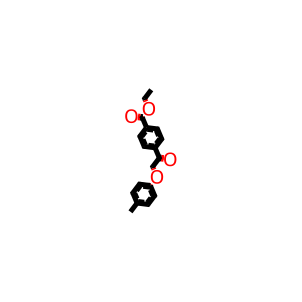 CCOC(=O)c1ccc(C(=O)COc2ccc(C)cc2)cc1